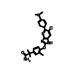 Cc1cc(C(C)(C)C(N)=O)ccc1Oc1nc2nc(C3C=CC(N(C)C)=CC3)c(Cl)cc2[nH]1